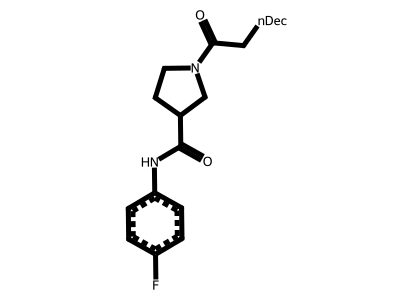 CCCCCCCCCCCC(=O)N1CCC(C(=O)Nc2ccc(F)cc2)C1